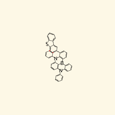 c1ccc(N2c3ccccc3B3c4cccc(-c5ccc6sc7ccccc7c6c5)c4N(c4ccccc4)c4cccc2c43)cc1